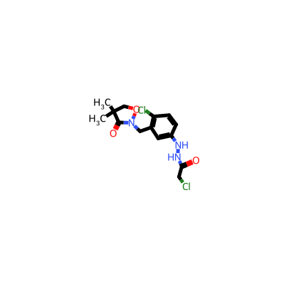 CC1(C)CON(Cc2cc(NNC(=O)CCl)ccc2Cl)C1=O